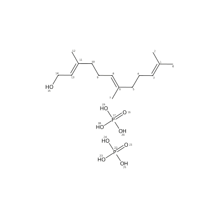 CC(C)=CCCC(C)=CCCC(C)=CCO.O=P(O)(O)O.O=P(O)(O)O